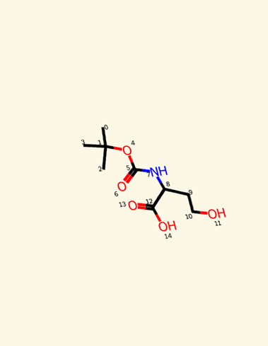 CC(C)(C)OC(=O)NC(CCO)C(=O)O